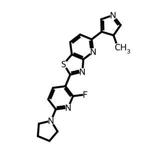 CC1C=NC=C1c1ccc2sc(-c3ccc(N4CCCC4)nc3F)nc2n1